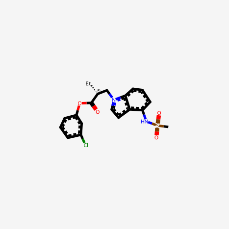 CC[C@H](Cn1ccc2c(NS(C)(=O)=O)cccc21)C(=O)Oc1cccc(Cl)c1